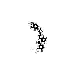 Cc1cc(Nc2cccc3nc(-c4cn(-c5ccc(O)c(F)c5)nn4)ccc23)ccc1F